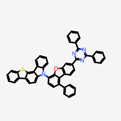 c1ccc(-c2nc(-c3ccccc3)nc(-c3ccc4c(c3)oc3c(-n5c6ccccc6c6c7sc8ccccc8c7ccc65)ccc(-c5ccccc5)c34)n2)cc1